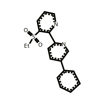 CCS(=O)(=O)c1cccnc1-c1ccc(-c2ccccc2)cn1